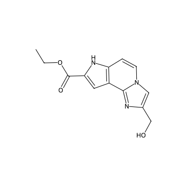 CCOC(=O)c1cc2c(ccn3cc(CO)nc23)[nH]1